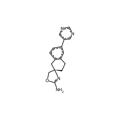 NC1=N[C@]2(CCc3cc(-c4cncnc4)ccc3C2)CO1